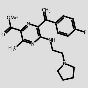 C=C(c1ccc(F)cc1)c1nc(C(=O)OC)c(C)nc1NCCN1CCCC1